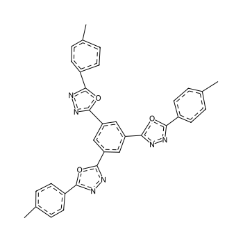 Cc1ccc(-c2nnc(-c3cc(-c4nnc(-c5ccc(C)cc5)o4)cc(-c4nnc(-c5ccc(C)cc5)o4)c3)o2)cc1